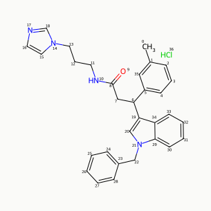 Cc1cccc(C(CC(=O)NCCCn2ccnc2)c2cn(Cc3ccccc3)c3ccccc23)c1.Cl